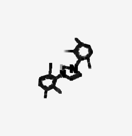 Cc1ccc(C)c(N2[C]N(c3c(C)ccc(C)c3C)C=C2)c1C